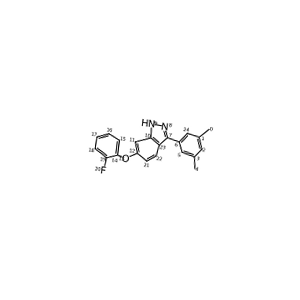 Cc1cc(C)cc(-c2n[nH]c3cc(Oc4ccccc4F)ccc23)c1